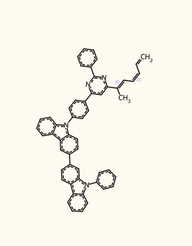 C=C/C=C\C=C(/C)c1cc(-c2ccc(-n3c4ccccc4c4cc(-c5ccc6c7ccccc7n(-c7ccccc7)c6c5)ccc43)cc2)nc(-c2ccccc2)n1